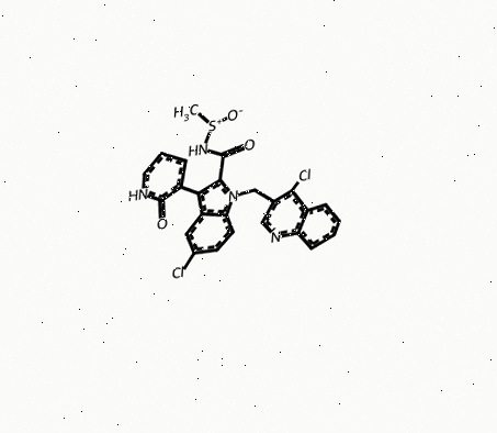 C[S+]([O-])NC(=O)c1c(-c2ccc[nH]c2=O)c2cc(Cl)ccc2n1Cc1cnc2ccccc2c1Cl